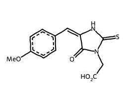 COc1ccc(C=C2NC(=S)N(CC(=O)O)C2=O)cc1